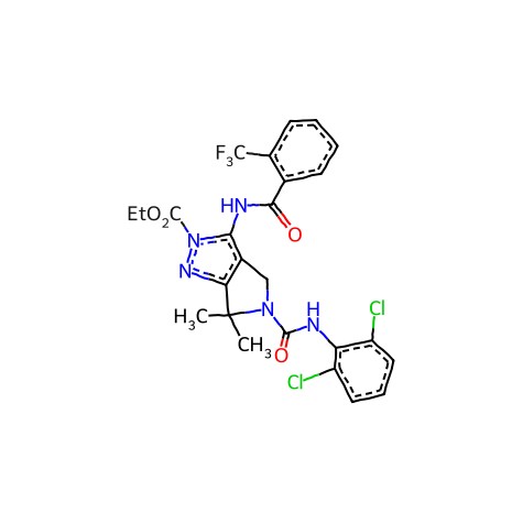 CCOC(=O)n1nc2c(c1NC(=O)c1ccccc1C(F)(F)F)CN(C(=O)Nc1c(Cl)cccc1Cl)C2(C)C